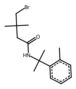 Cc1ccccc1C(C)(C)NC(=O)CC(C)(C)CBr